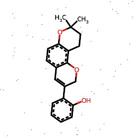 CC1(C)CCc2c(ccc3c2OCC(c2ccccc2O)=C3)O1